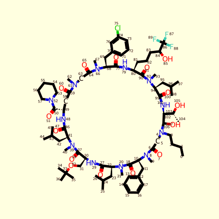 CCCCN1CC(=O)N(C)[C@@H](Cc2ccccc2)C(=O)N(C)[C@@H](CC(C)C)C(=O)N[C@@H](COC(C)(C)C)C(=O)N(C)[C@@H](CC(C)C)C(=O)N[C@H](C(=O)N2CCCCC2)CC(=O)N(C)CC(=O)N(C)[C@@H](Cc2cccc(Cl)c2)C(=O)N[C@@H](CCCC(O)C(F)(F)F)C(=O)N(C)[C@@H](CC(C)C)C(=O)N[C@@H]([C@@H](C)O)C1O